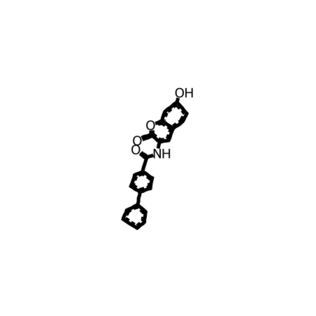 O=C(Nc1cc2ccc(O)cc2oc1=O)c1ccc(-c2ccccc2)cc1